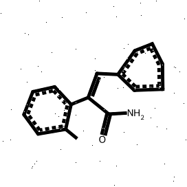 Cc1ccccc1C(=Cc1ccccc1)C(N)=O